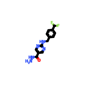 NNC(=O)c1cnc(NCc2ccc(C(F)F)cc2)nc1